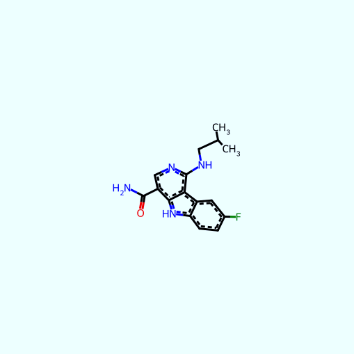 CC(C)CNc1ncc(C(N)=O)c2[nH]c3ccc(F)cc3c12